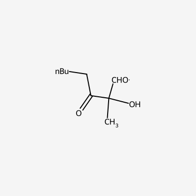 CCCCCC(=O)C(C)(O)[C]=O